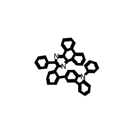 c1ccc(-c2nc3c4ccccc4c4ccccc4c3nc2-c2ccccc2-c2ccc3c(c2)c2ccccc2n3-c2ccccc2)cc1